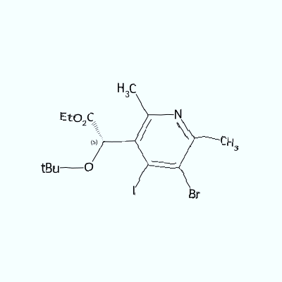 CCOC(=O)[C@@H](OC(C)(C)C)c1c(C)nc(C)c(Br)c1I